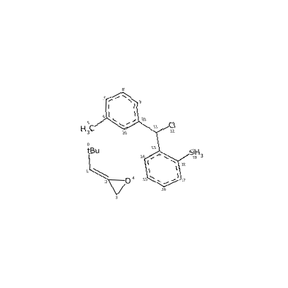 CC(C)(C)C=C1CO1.Cc1cccc(C(Cl)c2ccccc2[SiH3])c1